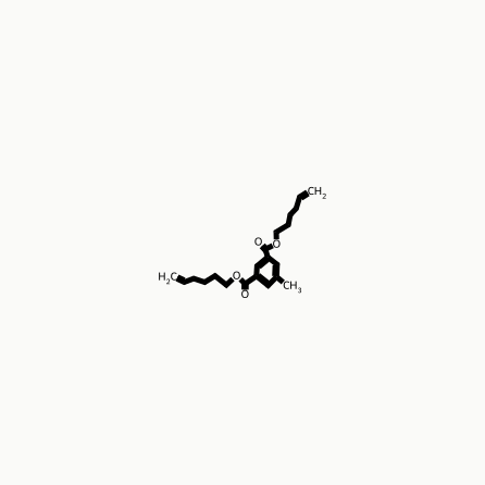 C=CCCCCOC(=O)c1cc(C)cc(C(=O)OCCCCC=C)c1